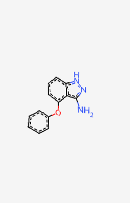 Nc1n[nH]c2cccc(Oc3ccccc3)c12